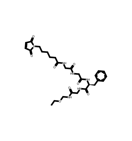 [CH2]COCNC(=O)CNC(=O)[C@H](Cc1ccccc1)NC(=O)CNC(=O)CNC(=O)CCCCCN1C(=O)C=CC1=O